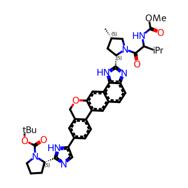 COC(=O)NC(C(=O)N1C[C@@H](C)C[C@H]1c1nc2ccc3cc4c(cc3c2[nH]1)OCc1cc(-c2cnc([C@@H]3CCCN3C(=O)OC(C)(C)C)[nH]2)ccc1-4)C(C)C